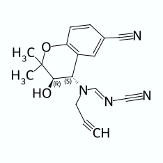 C#CCN(C=NC#N)[C@H]1c2cc(C#N)ccc2OC(C)(C)[C@@H]1O